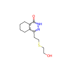 O=c1[nH]nc(CCSCCO)c2c1CCCC2